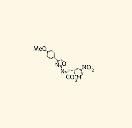 COc1ccc(-c2coc(/N=C(\Cc3cccc([N+](=O)[O-])c3)C(=O)O)n2)cc1